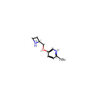 CC(C)(C)c1ccc(OCC2CCN2)cn1